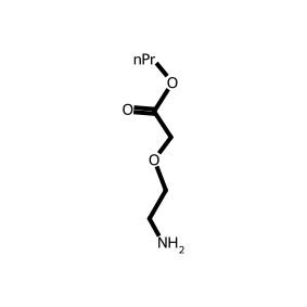 CCCOC(=O)COCCN